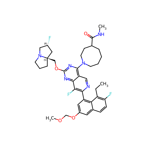 CCc1c(F)ccc2cc(OCOC)cc(-c3ncc4c(N5CCCCC(C(=O)NC)CC5)nc(OC[C@@]56CCCN5C[C@H](F)C6)nc4c3F)c12